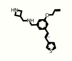 C=CCOc1cc(/C=C/c2ccsc2)cc(CNCC2CNC2)c1